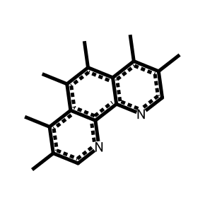 Cc1cnc2c(c1C)c(C)c(C)c1c(C)c(C)cnc12